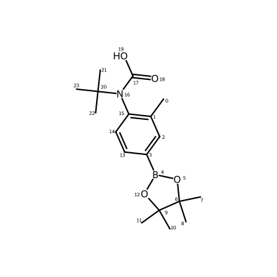 Cc1cc(B2OC(C)(C)C(C)(C)O2)ccc1N(C(=O)O)C(C)(C)C